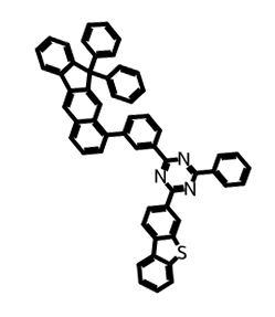 c1ccc(-c2nc(-c3cccc(-c4cccc5cc6c(cc45)C(c4ccccc4)(c4ccccc4)c4ccccc4-6)c3)nc(-c3ccc4c(c3)sc3ccccc34)n2)cc1